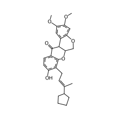 COc1cc2c(cc1OC)C1C(=O)c3ccc(O)c(C/C=C(\C)C4CCCC4)c3OC1CO2